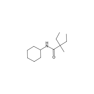 CCC(C)(CC)C(=O)NC1CCCCC1